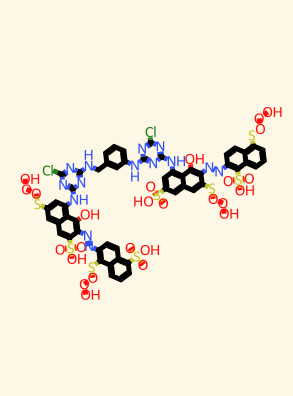 O=S(=O)(O)c1cc(Nc2nc(Cl)nc(Nc3cccc(CNc4nc(Cl)nc(Nc5cc(SOOO)cc6cc(S(=O)(=O)O)c(/N=N/c7ccc8c(S(=O)(=O)O)cccc8c7SOOO)c(O)c56)n4)c3)n2)c2c(O)c(/N=N/c3ccc4c(SOOO)cccc4c3S(=O)(=O)O)c(SOOO)cc2c1